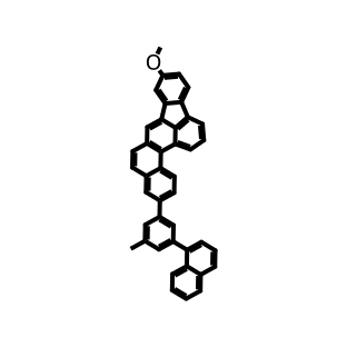 COc1ccc2c(c1)-c1cc3ccc4cc(-c5cc(C)cc(-c6cccc7ccccc67)c5)ccc4c3c3cccc-2c13